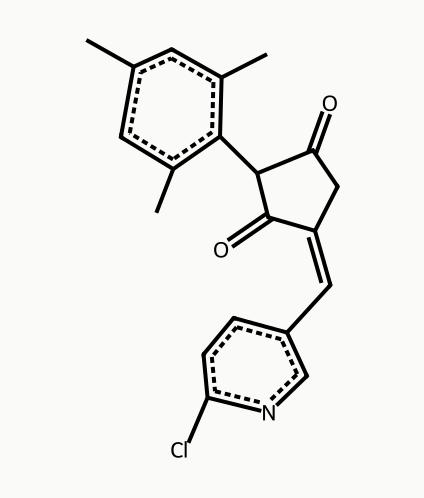 Cc1cc(C)c(C2C(=O)CC(=Cc3ccc(Cl)nc3)C2=O)c(C)c1